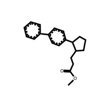 COC(=O)CCC1CCCC1c1ccc(-c2ccccc2)cc1